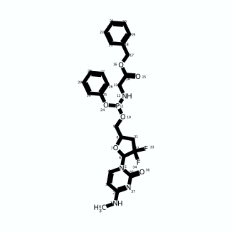 CNc1ccn(C2OC(COP(NCC(=O)OCc3ccccc3)Oc3ccccc3)CC2(F)F)c(=O)n1